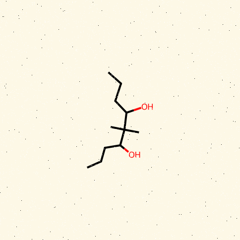 CCCC(O)C(C)(C)C(O)CCC